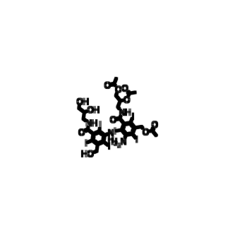 CC(=O)OCc1c(I)c(N)c(I)c(C(=O)NCC(COC(C)=O)OC(C)=O)c1I.Nc1c(I)c(CO)c(I)c(C(=O)NCC(O)CO)c1I